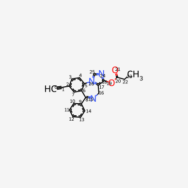 C#Cc1ccc2c(c1)C(c1ccccc1)=NCc1c(OC(=O)CC)ncn1-2